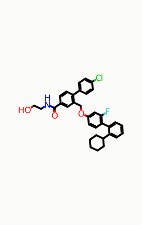 O=C(NCCO)c1ccc(-c2ccc(Cl)cc2)c(COc2ccc(-c3ccccc3C3CCCCC3)c(F)c2)c1